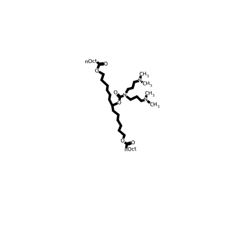 CCCCCCCCC(=O)OCCCCCCC(CCCCCCOC(=O)CCCCCCCC)OC(=O)N(CCCN(C)C)CCCN(C)C